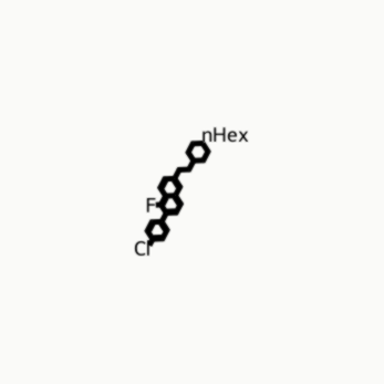 CCCCCCC1CCC(CCc2ccc3c(F)c(-c4ccc(Cl)cc4)ccc3c2)CC1